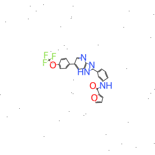 O=C(Nc1cccc(-c2nc3ncc(-c4ccc(OC(F)(F)F)cc4)cc3[nH]2)c1)c1ccco1